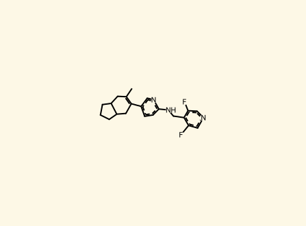 CC1=C(c2ccc(NCc3c(F)cncc3F)nc2)CC2CCCC2C1